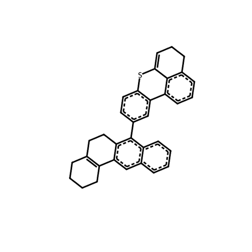 C1=C2Sc3ccc(-c4c5c(cc6ccccc46)C4=C(CCCC4)CC5)cc3-c3cccc(c32)CC1